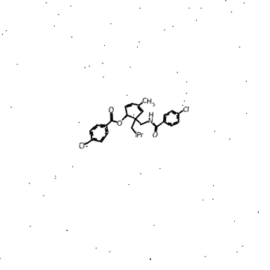 CC1=CC(CNC(=O)c2ccc(Cl)cc2)(CC(C)C)C(OC(=O)c2ccc(Cl)cc2)C=C1